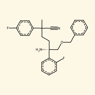 CC(C#N)(CC[C@@](N)(COCc1ccccc1)c1ccccc1F)c1ccc(F)cc1